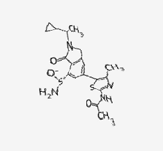 CC(=O)Nc1nc(C)c(-c2cc3c(c([S+](N)[O-])c2)C(=O)N(C(C)C2CC2)C3)s1